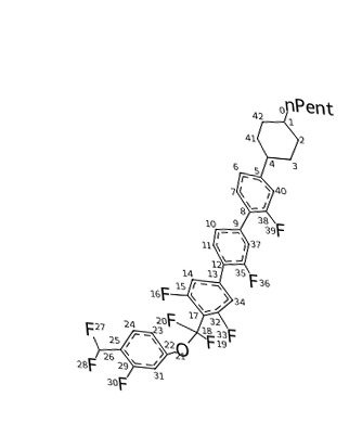 CCCCCC1CCC(c2ccc(-c3ccc(-c4cc(F)c(C(F)(F)Oc5ccc(C(F)F)c(F)c5)c(F)c4)c(F)c3)c(F)c2)CC1